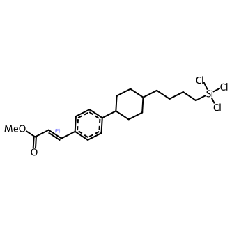 COC(=O)/C=C/c1ccc(C2CCC(CCCC[Si](Cl)(Cl)Cl)CC2)cc1